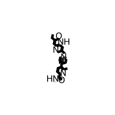 CCc1cc2ncc(CN3CC4CCC3CN4c3ccc(C(=O)NC)nc3C)cc2[nH]c1=O